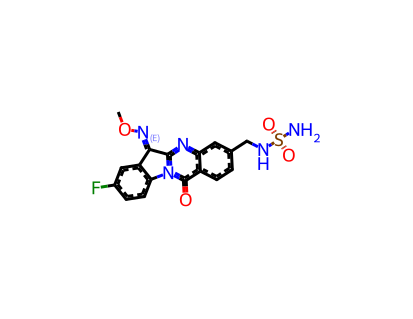 CO/N=C1\c2cc(F)ccc2-n2c1nc1cc(CNS(N)(=O)=O)ccc1c2=O